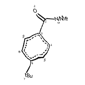 [CH2-][NH2+]C(=O)c1ccc(C(C)(C)C)cc1